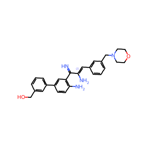 N=C(/C(N)=C/c1cccc(CN2CCOCC2)c1)c1cc(-c2cccc(CO)c2)ccc1N